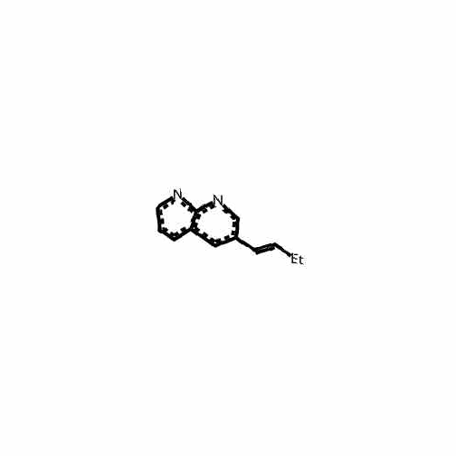 CC/C=C/c1cnc2ncccc2c1